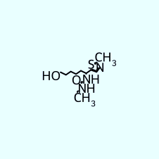 CCNC(=O)NC(CCCCCO)c1cnc(C)s1